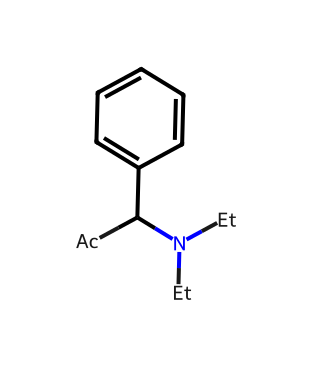 CCN(CC)C(C(C)=O)c1ccccc1